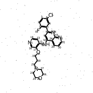 Fc1ccc(Cl)cc1-c1cc(Nc2ccncc2OCCCN2CCOCC2)c2cccnc2n1